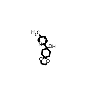 Cc1ccc(C2(O)CCC3(CC2)OCCO3)nc1